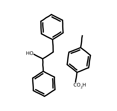 Cc1ccc(C(=O)O)cc1.OC(Cc1ccccc1)c1ccccc1